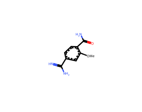 COc1cc(C(=N)N)ccc1C(N)=O